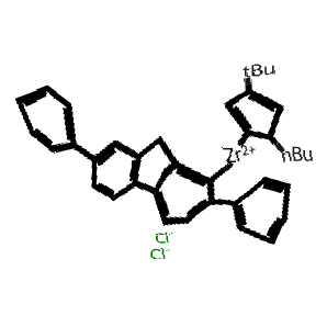 CCCCC1C=C(C(C)(C)C)C=[C]1[Zr+2][c]1c(-c2ccccc2)ccc2c1Cc1cc(-c3ccccc3)ccc1-2.[Cl-].[Cl-]